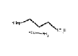 CCCCCCCCCCS(=O)(=O)O.CCCCP